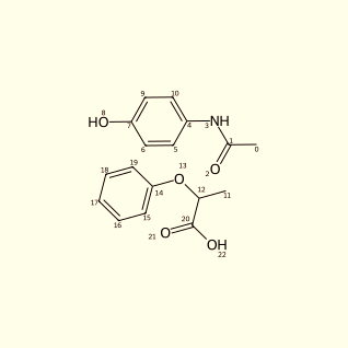 CC(=O)Nc1ccc(O)cc1.CC(Oc1ccccc1)C(=O)O